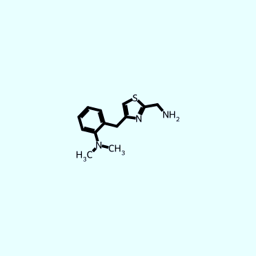 CN(C)c1ccccc1Cc1csc(CN)n1